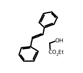 C(=Cc1ccccc1)c1ccccc1.CCOC(=O)CO